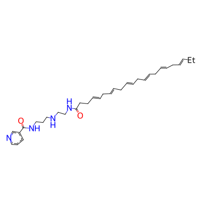 CCC=CCC=CCC=CCC=CCC=CCC=CCCC(=O)NCCNCCCNC(=O)c1cccnc1